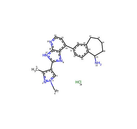 Cc1nn(C(C)C)cc1-c1nc2c(-c3ccc4c(c3)CCCCC4N)ccnc2[nH]1.Cl